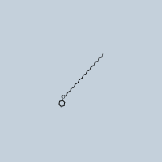 CCCCCCCCCCCCCCCCCCCCOc1cc[c]cc1